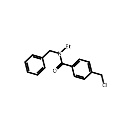 CCN(Cc1ccccc1)C(=O)c1ccc(CCl)cc1